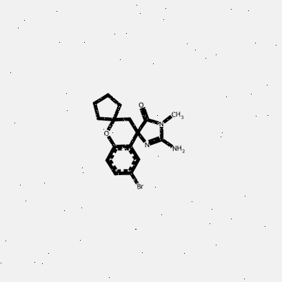 CN1C(=O)C2(CC3(CCCC3)Oc3ccc(Br)cc32)N=C1N